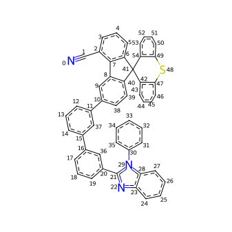 N#Cc1cccc2c1-c1cc(-c3cccc(-c4cccc(-c5nc6ccccc6n5-c5ccccc5)c4)c3)ccc1C21c2ccccc2Sc2ccccc21